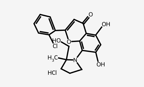 CC1(CO)CCCN1c1c(O)cc(O)c2c(=O)cc(-c3ccccc3Cl)oc12.Cl